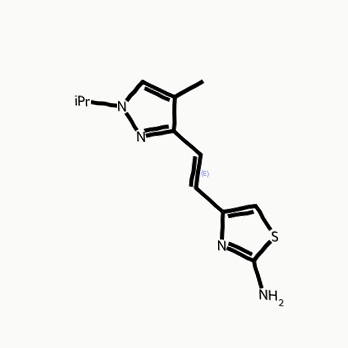 Cc1cn(C(C)C)nc1/C=C/c1csc(N)n1